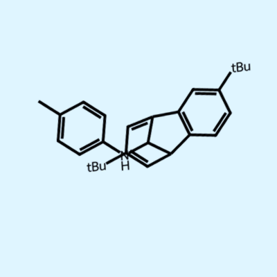 Cc1ccc(NC2C3=CC(C(C)(C)C)=CC2c2ccc(C(C)(C)C)cc23)cc1